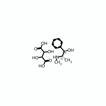 CN[C@@H](C)[C@H](O)c1ccccc1.O=C(O)C(O)C(O)C(=O)O